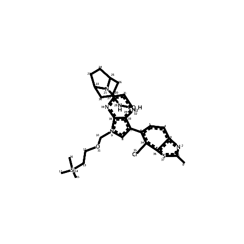 Cc1nc2ccc(-c3cn(COCC[Si](C)(C)C)c4nc(N5C6CCC5CC(NC(=O)O)C6)cnc34)c(Cl)c2s1